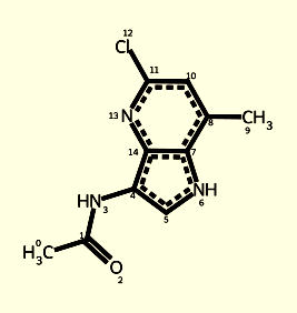 CC(=O)Nc1c[nH]c2c(C)cc(Cl)nc12